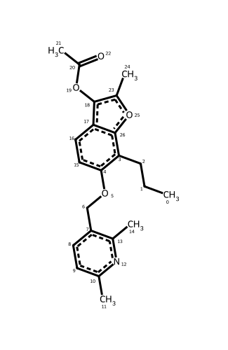 CCCc1c(OCc2ccc(C)nc2C)ccc2c(OC(C)=O)c(C)oc12